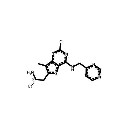 CC[C@H](N)Cc1sc2c(NCc3ccncn3)nc(Cl)nc2c1C